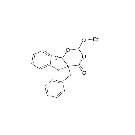 CCOC1OC(=O)C(Cc2ccccc2)(Cc2ccccc2)C(=O)O1